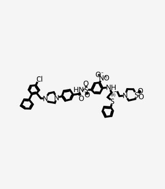 O=C(NS(=O)(=O)c1ccc(N[C@H](CCN2CCS(=O)(=O)CC2)CSc2ccccc2)c([N+](=O)[O-])c1)c1ccc(N2CCN(Cc3cc(Cl)ccc3-c3ccccc3)CC2)cc1